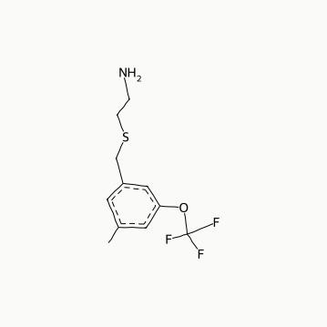 Cc1cc(CSCCN)cc(OC(F)(F)F)c1